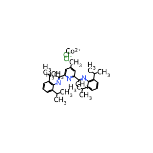 CC(=Nc1c(C(C)C)cccc1C(C)C)c1cc(C)cc(C(C)=Nc2c(C(C)C)cccc2C(C)C)n1.[Cl-].[Cl-].[Co+2]